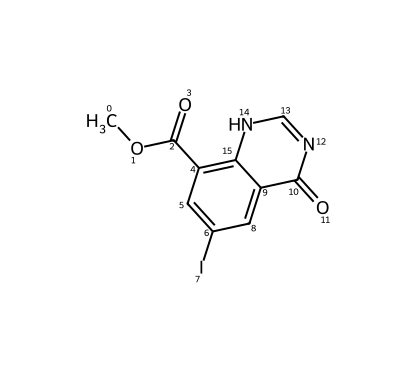 COC(=O)c1cc(I)cc2c(=O)nc[nH]c12